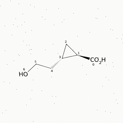 O=C(O)[C@@H]1C[C@H]1CCO